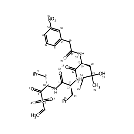 C=CS(=O)(=O)C(=O)[C@H](CC(C)C)NC(=O)[C@H](CC(C)C)NC(=O)[C@H](CC(C)(O)CI)NC(=O)Cc1cccc([N+](=O)[O-])c1